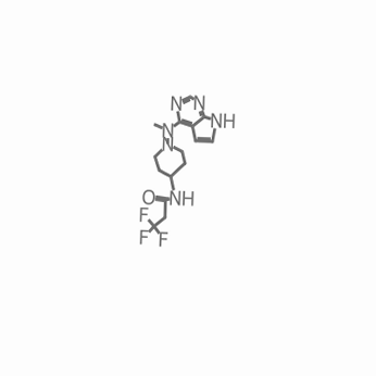 CN(c1ncnc2[nH]ccc12)N1CCC(NC(=O)CC(F)(F)F)CC1